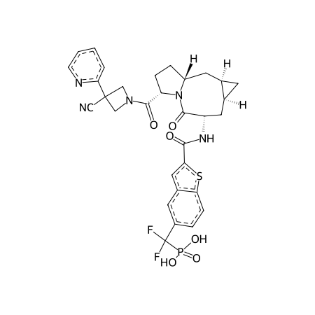 N#CC1(c2ccccn2)CN(C(=O)[C@@H]2CC[C@@H]3C[C@H]4C[C@H]4C[C@H](NC(=O)c4cc5cc(C(F)(F)P(=O)(O)O)ccc5s4)C(=O)N32)C1